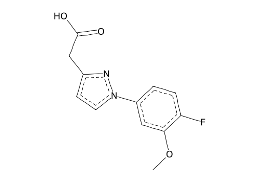 COc1cc(-n2ccc(CC(=O)O)n2)ccc1F